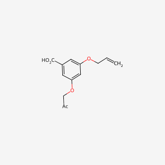 C=CCOc1cc(OCC(C)=O)cc(C(=O)O)c1